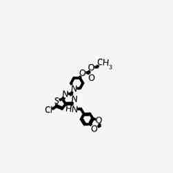 CCOC(=O)OC1CCN(c2nc(NCc3ccc4c(c3)OCO4)c3cc(Cl)sc3n2)CC1